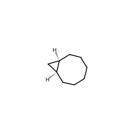 C1CCC[C@H]2C[C@H]2CC1